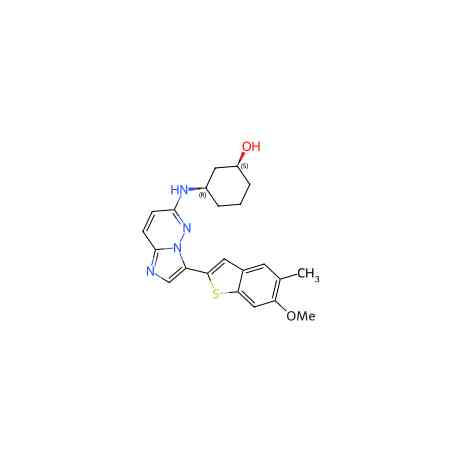 COc1cc2sc(-c3cnc4ccc(N[C@@H]5CCC[C@H](O)C5)nn34)cc2cc1C